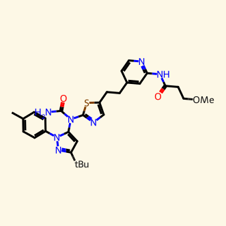 COCCC(=O)Nc1cc(CCc2cnc(N(C(N)=O)c3cc(C(C)(C)C)nn3-c3ccc(C)cc3)s2)ccn1